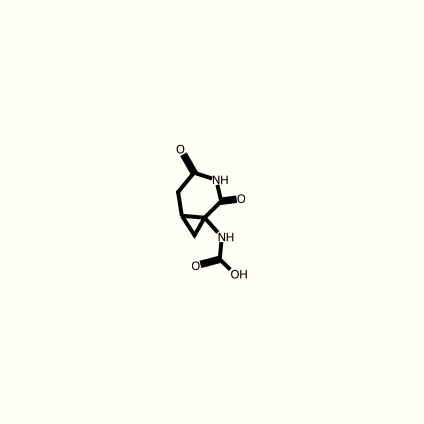 O=C(O)NC12CC1CC(=O)NC2=O